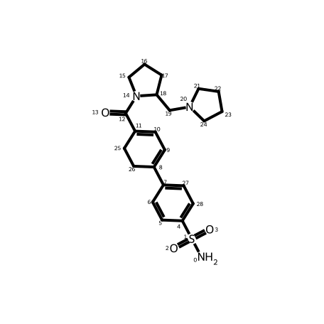 NS(=O)(=O)c1ccc(C2=CC=C(C(=O)N3CCCC3CN3CCCC3)CC2)cc1